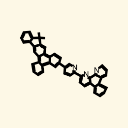 CC1(C)c2ccccc2-c2cc3c4ccccc4c4cc(-c5ccc(-c6ccc7c8ccccc8c8cccnc8c7n6)nc5)ccc4c3cc21